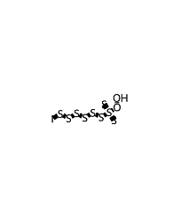 OOS(=S)(=S)SSSSSSI